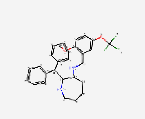 COc1ccc(OC(F)(F)F)cc1CNC1CCCCNC1C(c1ccccc1)c1ccccc1